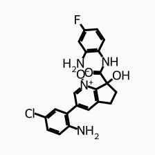 Nc1cc(F)ccc1NC(=O)C1(O)CCc2cc(-c3cc(Cl)ccc3N)c[n+]([O-])c21